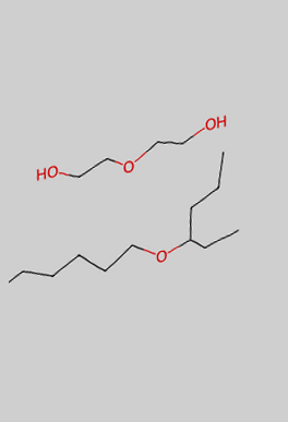 CCCCCCOC(CC)CCC.OCCOCCO